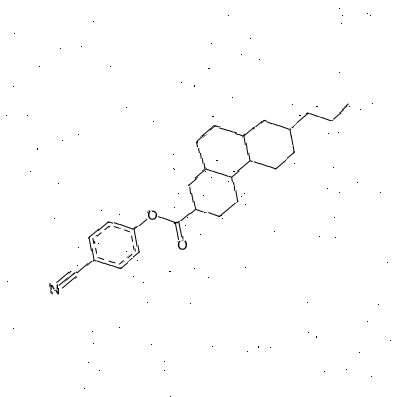 CCCC1CCC2C(CCC3CC(C(=O)Oc4ccc(C#N)cc4)CCC32)C1